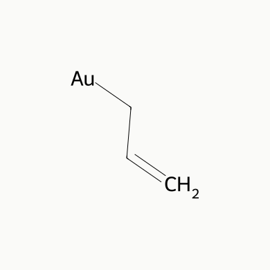 C=C[CH2][Au]